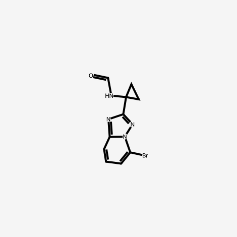 O=CNC1(c2nc3cccc(Br)n3n2)CC1